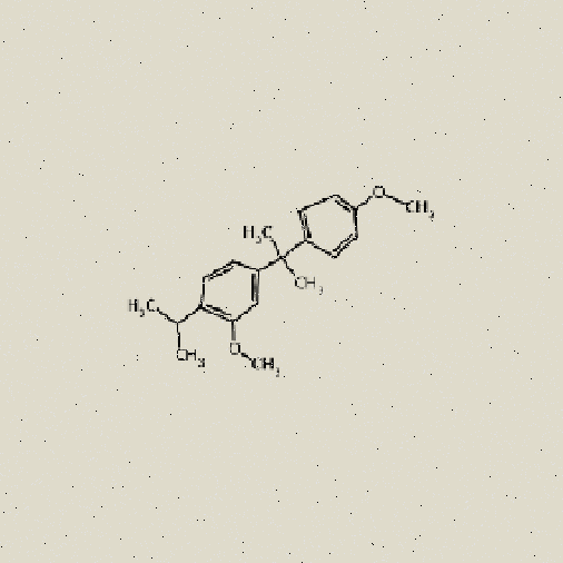 COc1ccc(C(C)(C)c2ccc(C(C)C)c(OC)c2)cc1